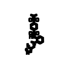 CN(Cc1cncn1C)c1ccccc1NS(=O)(=O)c1ccc(S(=O)(=O)N(C)C)cc1